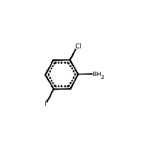 Bc1cc(I)ccc1Cl